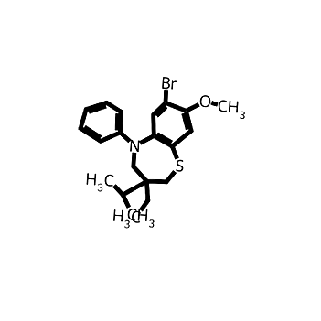 CCC1(C(C)C)CSc2cc(OC)c(Br)cc2N(c2ccccc2)C1